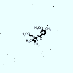 COCCn1c(C)c(C)sc1=NC(=O)c1ccc(C)c(OC)c1